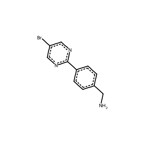 NCc1ccc(-c2ncc(Br)cn2)cc1